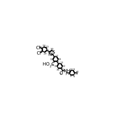 O=C(NCc1ccc(F)cc1)c1ccc(-c2ccc(-c3nc(-c4ccc(Cl)c(Cl)c4)cs3)cc2C(=O)O)cc1